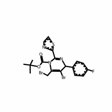 CC(C)(C)OC(=O)N1C(c2nccs2)=NC(c2ccc(F)cc2)C(Br)=C1CBr